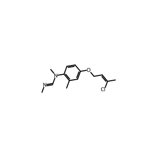 CN=CN(C)c1ccc(OCC=C(C)Cl)cc1C